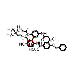 C[C@H](CC(=O)Nc1ccc(OC(F)F)c(CN(C)C(=O)OCC[Si](C)(C)C)c1)c1cc(C(Nc2ccc(C#N)cc2)C(=O)O)ccc1OCc1ccccc1